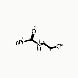 CCCC(=O)NCCCl